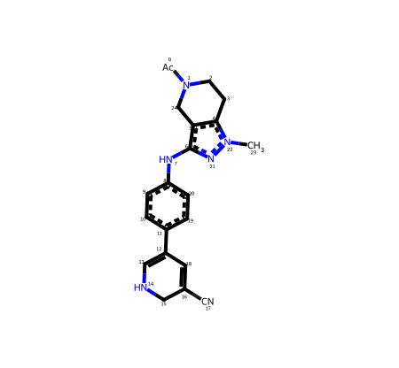 CC(=O)N1CCc2c(c(Nc3ccc(C4=CNCC(C#N)=C4)cc3)nn2C)C1